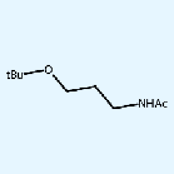 CC(=O)NCCCOC(C)(C)C